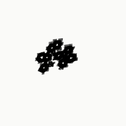 Brc1ccccc1-c1cc2c(c3ccccc13)c1ccc3ccccc3c1n2-c1ccc2c(c1)-c1ccccc1C2(c1ccccc1)c1ccccc1